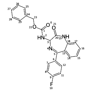 O=C(NC1N=C(c2ccc(F)cc2)c2ccccc2NC1=O)OCc1ccccc1